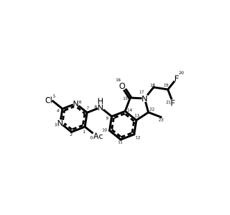 CC(=O)c1cnc(Cl)nc1Nc1cccc2c1C(=O)N(CC(F)F)C2C